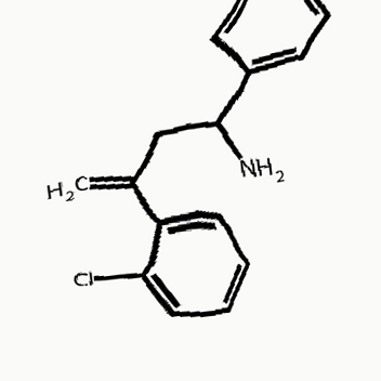 C=C(CC(N)c1ccccc1)c1ccccc1Cl